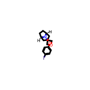 Ic1ccc(O[C@@H]2C[C@H]3CC[C@@H](C2)N3C2COC2)cc1